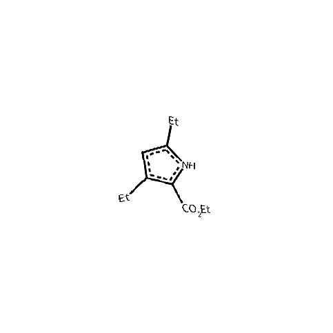 CCOC(=O)c1[nH]c(CC)cc1CC